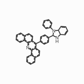 C1=CC2NC(c3ccc(-c4c5ccc6ccccc6c5nc5c4ccc4ccccc45)cc3)N(c3ccccc3)C2C=C1